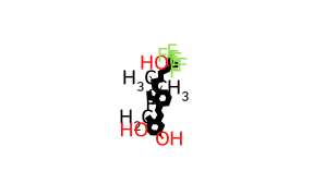 C=C1/C(=C\C=C2/CCC[C@]3(C)[C@@H]([C@H](C)CCCC(O)(C(F)(F)F)C(F)(F)F)CC[C@@H]23)C[C@@H](O)CC1O